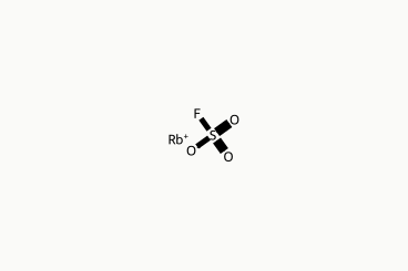 O=S(=O)([O-])F.[Rb+]